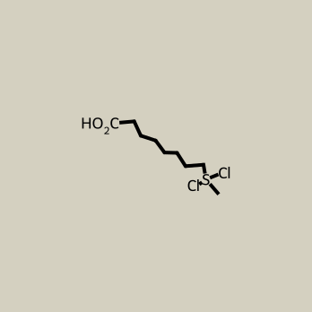 CS(Cl)(Cl)CCCCCCCC(=O)O